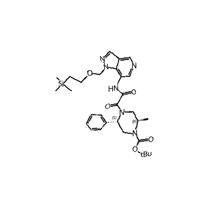 C[C@@H]1CN(C(=O)C(=O)Nc2cncc3cnn(COCC[Si](C)(C)C)c23)[C@@H](c2ccccc2)CN1C(=O)OC(C)(C)C